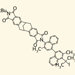 Cc1cc(-c2cc(C)c(C(C)(C)I)c3ccccc23)c2ccccc2c1N1C(=O)c2cc3c(cc2C1=O)C1Cc2cc4c(cc2C(C3)C1)C(=O)N(C(C)(C)C)C4=O